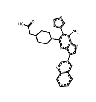 Nc1c(-c2ccsc2)c(C2CCC(CC(=O)O)CC2)nc2c(-c3cnc4ccccc4c3)cnn12